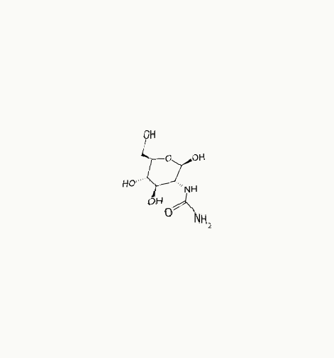 NC(=O)N[C@@H]1[C@@H](O)[C@H](O)[C@@H](CO)O[C@H]1O